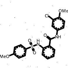 COc1ccc(S(=O)(=O)Nc2ccccc2C(=O)Nc2ccc(OC)c(Cl)c2)cc1